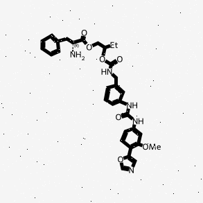 CCC(COC(=O)[C@H](N)Cc1ccccc1)OC(=O)NCc1cccc(NC(=O)Nc2ccc(-c3cnco3)c(OC)c2)c1